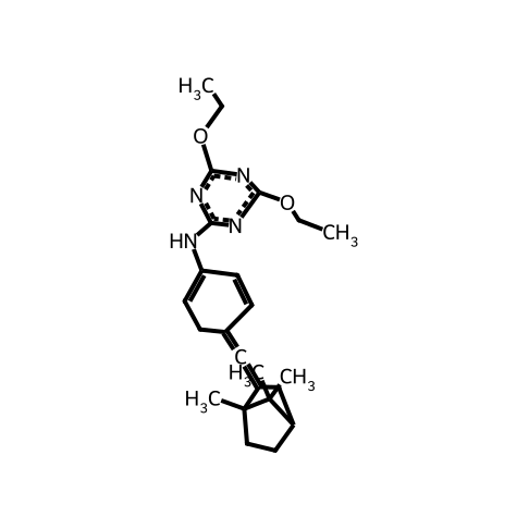 CCOc1nc(NC2=CCC(=C=C3CC4CCC3(C)C4(C)C)C=C2)nc(OCC)n1